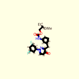 CCC(COC(=O)Nc1cccc(Cc2nn(-c3cc(F)cc(F)c3)ccc2=O)c1)OC